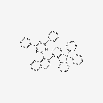 c1ccc(-c2nc(-c3ccccc3)nc(-c3c(-c4cccc5c4-c4ccccc4C5(c4ccccc4)c4ccccc4)ccc4ccccc34)n2)cc1